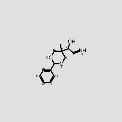 CC1(C(O)C=N)COC(c2ccccc2)OC1